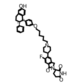 O=C1CCC(N2Cc3cc(C4CCN(CCCCCCOc5ccc([C@@H]6c7ccc(O)cc7CC[C@@H]6c6ccccc6)cc5)CC4)c(F)cc3C2=O)C(=O)N1